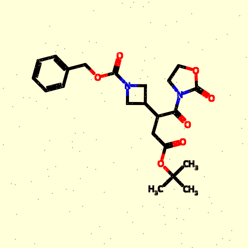 CC(C)(C)OC(=O)CC(C(=O)N1CCOC1=O)C1CN(C(=O)OCc2ccccc2)C1